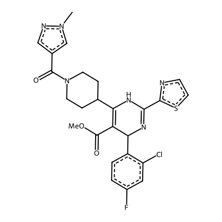 COC(=O)C1=C(C2CCN(C(=O)c3cnn(C)c3)CC2)NC(c2nccs2)=NC1c1ccc(F)cc1Cl